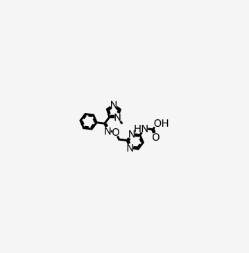 Cn1cncc1/C(=N\OCc1nccc(NC(=O)O)n1)c1ccccc1